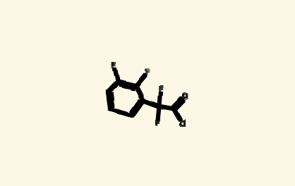 O=C(Cl)C(F)(F)c1cccc(F)c1F